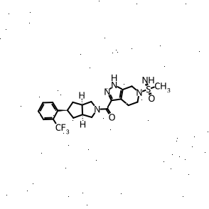 CS(=N)(=O)N1CCc2c(C(=O)N3C[C@H]4C[C@@H](c5ccccc5C(F)(F)F)C[C@H]4C3)n[nH]c2C1